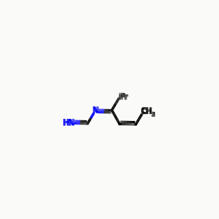 C/C=C\C(=N/C=N)C(C)C